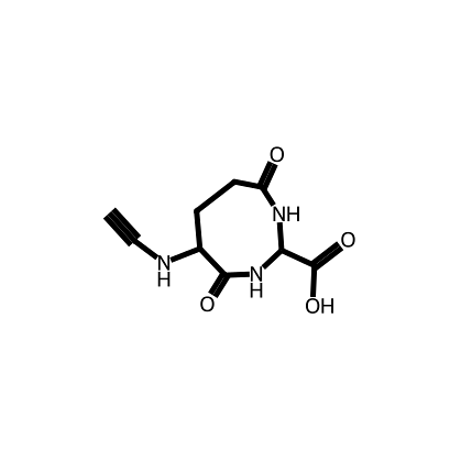 C#CNC1CCC(=O)NC(C(=O)O)NC1=O